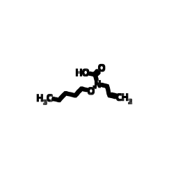 C=CCN(OCCCCC)C(=O)O